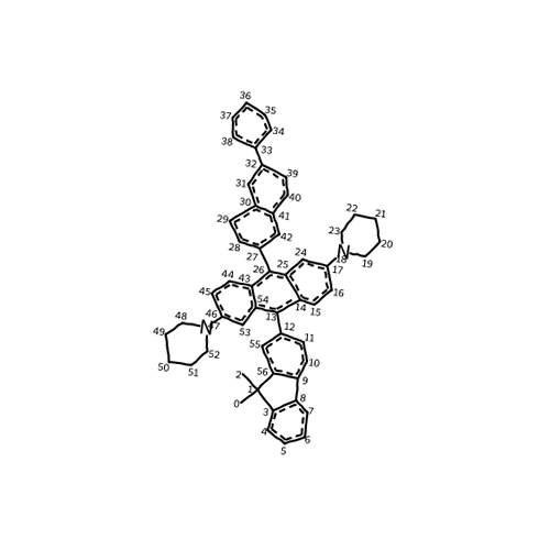 CC1(C)c2ccccc2-c2ccc(-c3c4ccc(N5CCCCC5)cc4c(-c4ccc5cc(-c6ccccc6)ccc5c4)c4ccc(N5CCCCC5)cc34)cc21